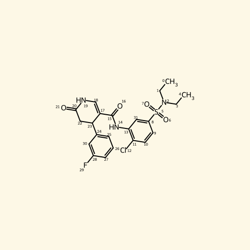 CCN(CC)S(=O)(=O)c1ccc(Cl)c(NC(=O)C2=CNC(=O)CC2c2cccc(F)c2)c1